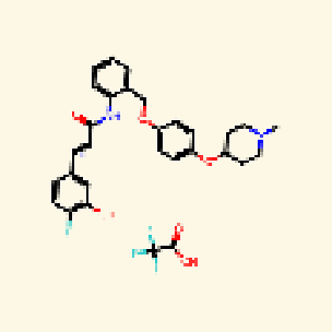 CN1CCC(Oc2ccc(OCc3ccccc3NC(=O)/C=C/c3ccc(F)c(O)c3)cc2)CC1.O=C(O)C(F)(F)F